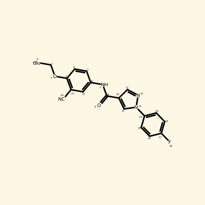 CC(C)(C)COc1ccc(NC(=O)c2cnn(-c3ccc(F)cc3)c2)cc1C#N